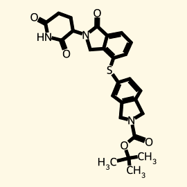 CC(C)(C)OC(=O)N1Cc2ccc(Sc3cccc4c3CN(C3CCC(=O)NC3=O)C4=O)cc2C1